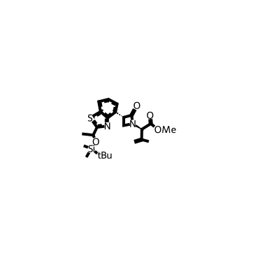 C=C(C)[C@H](C(=O)OC)N1C[C@H](c2cccc3sc(C(C)O[Si](C)(C)C(C)(C)C)nc23)C1=O